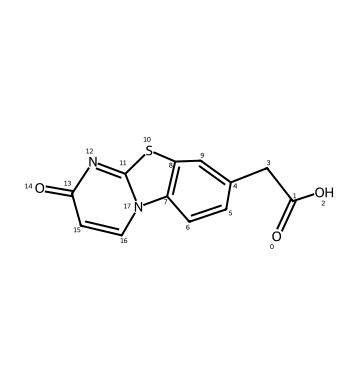 O=C(O)Cc1ccc2c(c1)sc1nc(=O)ccn12